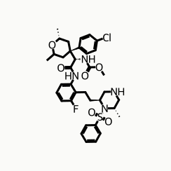 COC(=O)N[C@H](C(=O)Nc1cccc(F)c1CC[C@H]1CNC[C@H](C)N1S(=O)(=O)c1ccccc1)[C@]1(c2ccc(Cl)cc2)CC(C)O[C@H](C)C1